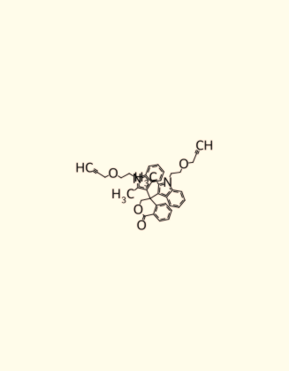 C#CCOCCn1c(C)c(C2(c3c(C)n(CCOCC#C)c4ccccc34)COC(=O)c3ccccc32)c2ccccc21